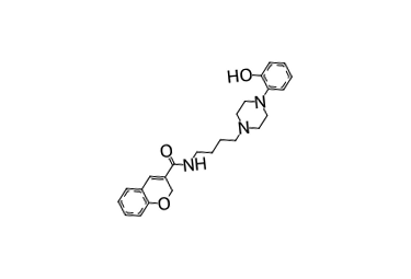 O=C(NCCCCN1CCN(c2ccccc2O)CC1)C1=Cc2ccccc2OC1